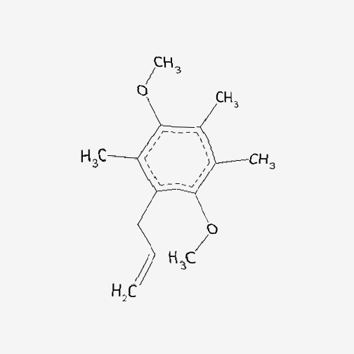 C=CCc1c(C)c(OC)c(C)c(C)c1OC